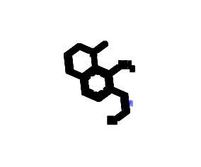 CC/C=C\c1ccc2c(c1N)N(C)CC=C2